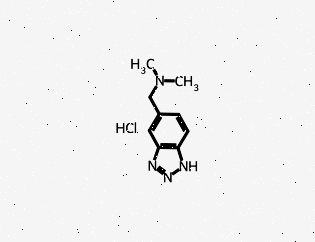 CN(C)Cc1ccc2[nH]nnc2c1.Cl